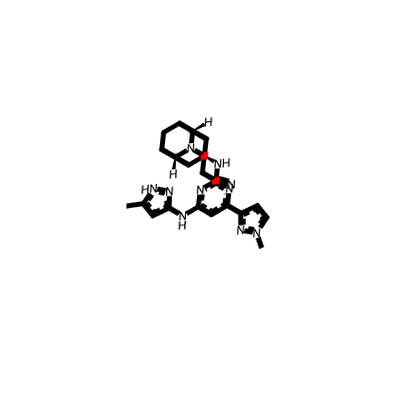 Cc1cc(Nc2cc(-c3ccn(C)n3)nc(N[C@@H]3C[C@H]4CCC[C@@H](C3)N4CCC#N)n2)n[nH]1